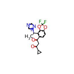 CC(c1c(C(=O)CC(=O)C2CC2)ccc2c1OC(F)(F)O2)n1cncn1